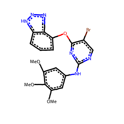 COc1cc(Nc2ncc(Br)c(Oc3cccc4[nH]nnc34)n2)cc(OC)c1OC